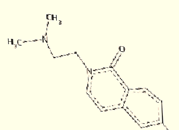 CN(C)CCn1ccc2cc(Br)ccc2c1=O